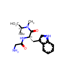 CCCC[C@@H](C(=O)O)N(C)C(=O)[C@H](Cc1c[nH]c2ccccc12)NC(=O)CN